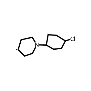 ClC1CCC(N2CC[CH]CC2)CC1